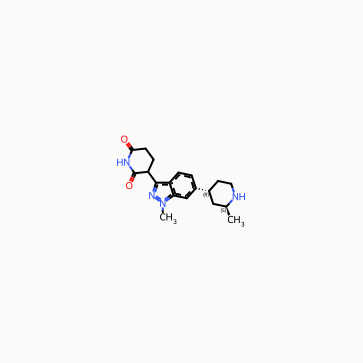 C[C@H]1C[C@H](c2ccc3c(C4CCC(=O)NC4=O)nn(C)c3c2)CCN1